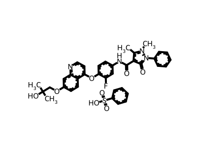 Cc1c(C(=O)Nc2ccc(Oc3ccnc4cc(OCC(C)(C)O)ccc34)c(F)c2)c(=O)n(-c2ccccc2)n1C.O=S(=O)(O)c1ccccc1